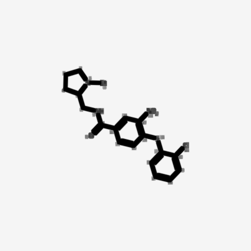 CCN1CCCC1CNC(=O)c1ccc(Sc2ccccc2Cl)c([N+](=O)[O-])c1